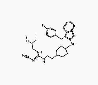 COC(CN/C(=N\C#N)NCCN1CCC(Nc2nc3ccccc3n2Cc2ccc(F)cc2)CC1)OC